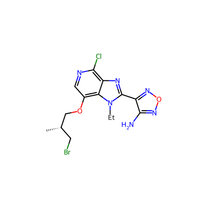 CCn1c(-c2nonc2N)nc2c(Cl)ncc(OC[C@@H](C)CBr)c21